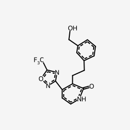 O=c1[nH]ccc(-c2noc(C(F)(F)F)n2)c1CCc1cccc(CO)c1